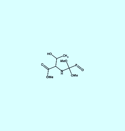 COC(=O)C(NC(OC)(OC)P=O)C(C)O